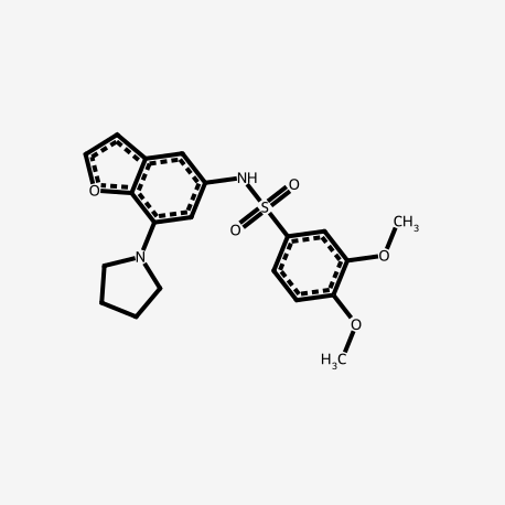 COc1ccc(S(=O)(=O)Nc2cc(N3CCCC3)c3occc3c2)cc1OC